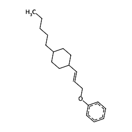 CCCCCC1CCC(/C=C/COc2ccccc2)CC1